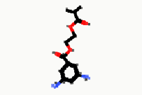 CC(C)C(=O)OCCOC(=O)c1cc(N)cc(N)c1